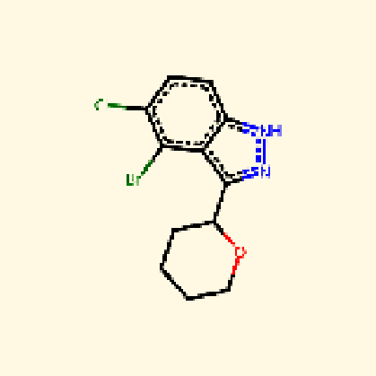 Clc1ccc2[nH]nc(C3CCCCO3)c2c1Br